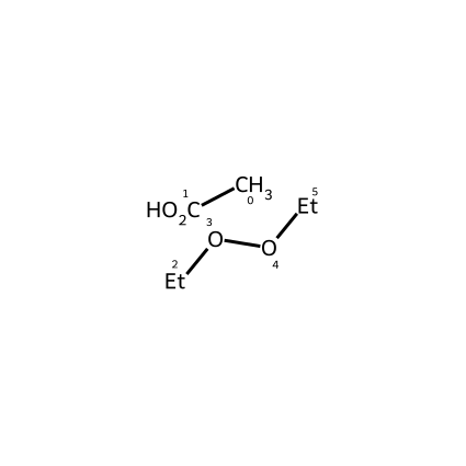 CC(=O)O.CCOOCC